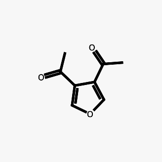 CC(=O)c1cocc1C(C)=O